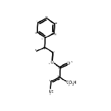 CCC=C(C(=O)O)C(=O)OCC(C)c1ccccc1